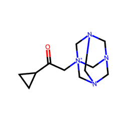 O=C(C[N+]12CN3CN(CN(C3)C1)C2)C1CC1